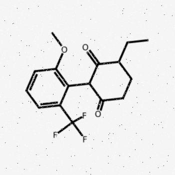 CCC1CCC(=O)C(c2c(OC)cccc2C(F)(F)F)C1=O